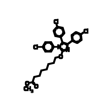 COC(=O)CCCCCCCOc1nc(-c2ccc(Cl)cc2)c(-c2ccc(Cl)cc2)n1-c1ccc(Cl)cc1